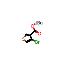 CC(C)(C)OC(=O)c1cscc1Br